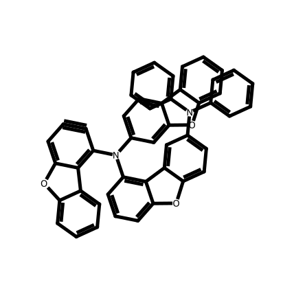 c1cc2oc3ccccc3c2c(N(c2ccc3c(c2)oc2ccccc23)c2cccc3oc4ccc(N(c5ccccc5)c5ccccc5)cc4c23)c#1